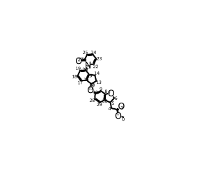 COC(=O)CC1COc2cc(O[C@@H]3CCc4c3cccc4-n3ccccc3=O)ccc21